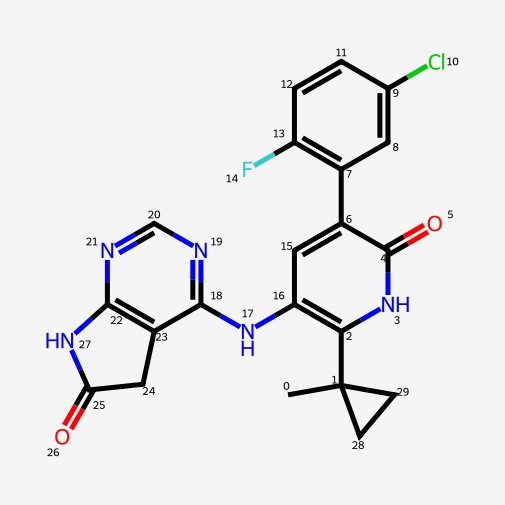 CC1(c2[nH]c(=O)c(-c3cc(Cl)ccc3F)cc2Nc2ncnc3c2CC(=O)N3)CC1